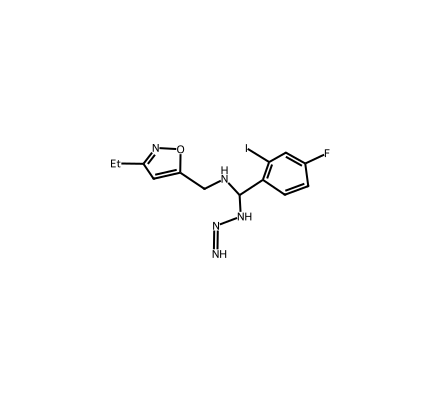 CCc1cc(CNC(NN=N)c2ccc(F)cc2I)on1